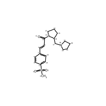 CS(=O)(=O)c1ccc(C=CC(=O)N2CCCC2CN2CCCC2)cc1